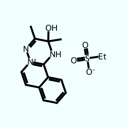 CC1=N[n+]2ccc3ccccc3c2NC1(C)O.CCS(=O)(=O)[O-]